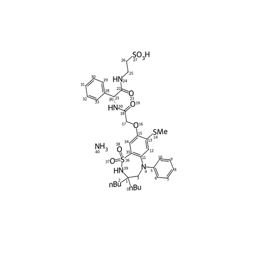 CCCCC1(CCCC)CN(c2ccccc2)c2cc(SC)c(OCC(=O)N[C@@H](C(=O)NCCS(=O)(=O)O)c3ccccc3)cc2S(=O)(=O)N1.N